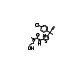 C#CC(C)(c1ccc(Cl)cc1)c1csc(NC(=O)N(C)CCO)n1